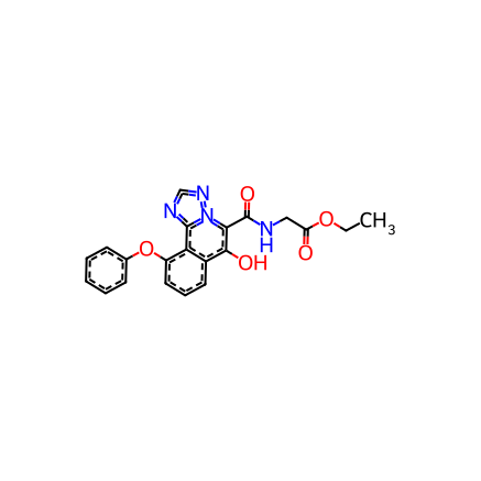 CCOC(=O)CNC(=O)c1c(O)c2cccc(Oc3ccccc3)c2c2ncnn12